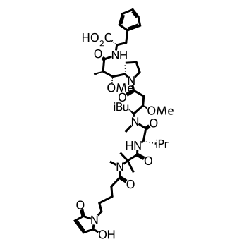 CC[C@H](C)[C@@H]([C@@H](CC(=O)N1CCC[C@H]1[C@H](OC)[C@@H](C)C(=O)N[C@@H](Cc1ccccc1)C(=O)O)OC)N(C)C(=O)[C@@H](NC(=O)C(C)(C)N(C)C(=O)CCCCN1C(=O)C=CC1O)C(C)C